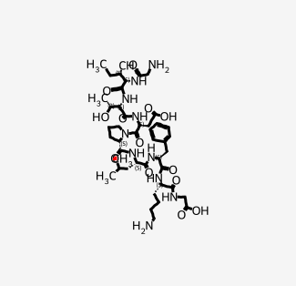 CC[C@H](C)[C@H](NC(=O)CN)C(=O)N[C@H](C(=O)N[C@@H](CC(=O)O)C(=O)N1CCC[C@H]1C(=O)N[C@@H](CC(C)C)C(=O)N[C@@H](Cc1ccccc1)C(=O)N[C@@H](CCCCN)C(=O)NCC(=O)O)[C@@H](C)O